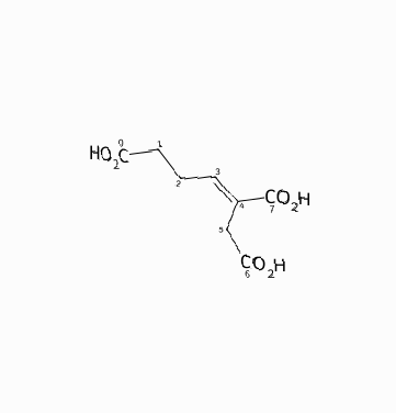 O=C(O)CCC=C(CC(=O)O)C(=O)O